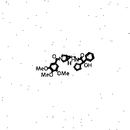 COc1cc(C(=O)N2CC3[C@H](CNC(=O)C(O)(c4ccccc4)C4CCCC4)[C@H]3C2)cc(OC)c1OC